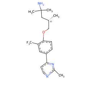 Cc1nccc(-c2ccc(OC[C@@H](C)CC(C)(C)N)c(C(F)(F)F)c2)n1